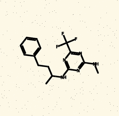 CNc1nc(NC(C)CCc2ccccc2)nc(C(F)(F)F)n1